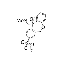 CNCC1(O)c2ccc(S(C)(=O)=O)cc2COc2ccccc21